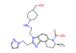 C[C@H]1CCc2c(ccc3c2nc(CCn2cccn2)n3CCNC2CCC(CO)CC2)N1C(=O)O